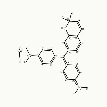 CC(=O)[O-].CN(C)c1ccc(C(=C2C=CC(=[N+](C)C)C=C2)c2ccc3c(c2)OC(C)(C)C=C3)cc1